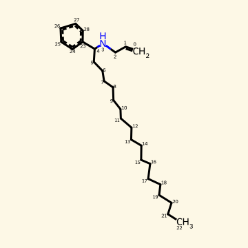 C=CCNC(CCCCCCCCCCCCCCCCCC)c1ccccc1